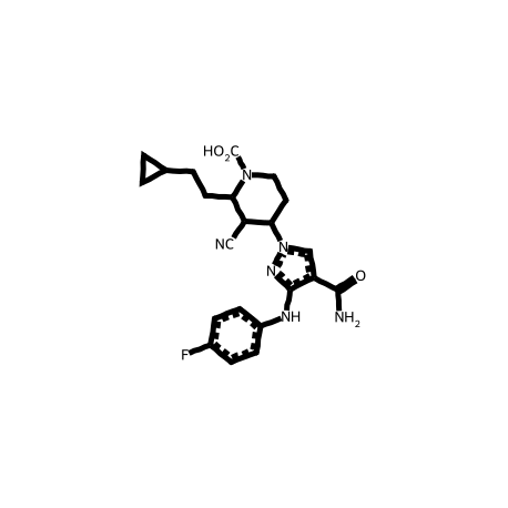 N#CC1C(CCC2CC2)N(C(=O)O)CCC1n1cc(C(N)=O)c(Nc2ccc(F)cc2)n1